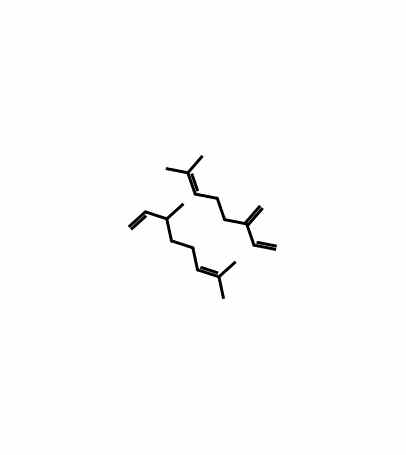 C=CC(=C)CCC=C(C)C.C=CC(C)CCC=C(C)C